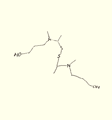 CC(SSC(C)N(C)CCCO)N(C)CCCO